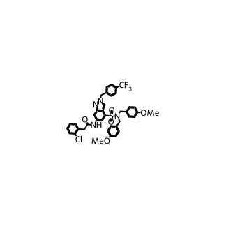 COc1ccc(CN(Cc2ccc(OC)cc2)S(=O)(=O)c2cc(NC(=O)Cc3ccccc3Cl)cc3nn(Cc4ccc(C(F)(F)F)cc4)cc23)cc1